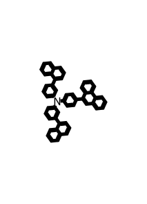 c1cc(-c2cccc3ccccc23)cc(N(c2ccc(-c3cc4ccccc4c4ccccc34)cc2)c2cccc(-c3cccc4ccccc34)c2)c1